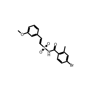 COc1cccc(/C=C/S(=O)(=O)NC(=O)c2ccc(Br)cc2C)c1